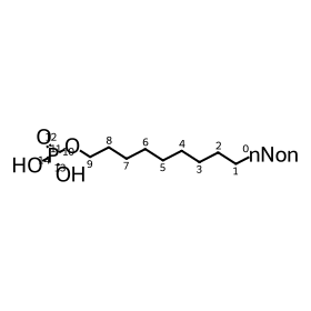 CCCCCCCCCCCCCCCCCCOP(=O)(O)O